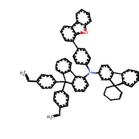 C=Cc1ccc(C2(c3ccc(C=C)cc3)c3ccccc3-c3c(N(c4ccc(-c5cccc6c5oc5ccccc56)cc4)c4ccc5c(c4)C4(CCCCC4)c4ccccc4-5)cccc32)cc1